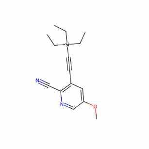 CC[Si](C#Cc1cc(OC)cnc1C#N)(CC)CC